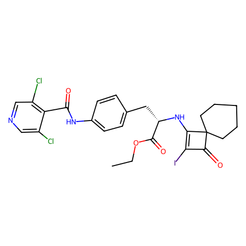 CCOC(=O)[C@H](Cc1ccc(NC(=O)c2c(Cl)cncc2Cl)cc1)NC1=C(I)C(=O)C12CCCCC2